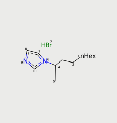 Br.CCCCCCCCC(C)n1ccnc1